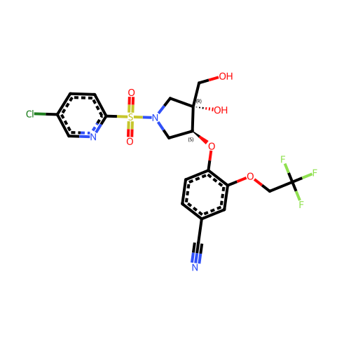 N#Cc1ccc(O[C@H]2CN(S(=O)(=O)c3ccc(Cl)cn3)C[C@@]2(O)CO)c(OCC(F)(F)F)c1